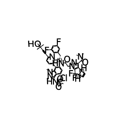 CN(C)C(=O)c1nn(CC(=O)N[C@@H](Cc2cc(F)cc(F)c2)c2nc(C#CC(C)(C)O)ccc2-c2ccc(Cl)c3c(NS(C)(=O)=O)nn(C)c23)c2c1[C@H]1C#C[C@H]1C2(F)F